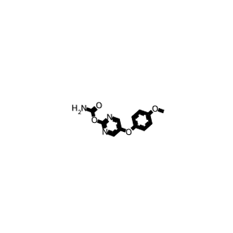 COc1ccc(Oc2cnc(OC(N)=O)nc2)cc1